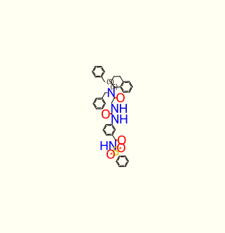 O=C(NCC(=O)N(Cc1ccccc1)[C@@H]1c2ccccc2CC[C@H]1Cc1ccccc1)Nc1cccc(C(=O)NS(=O)(=O)c2ccccc2)c1